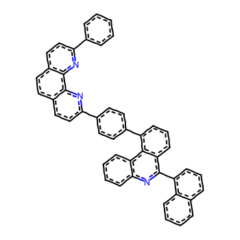 c1ccc(-c2ccc3ccc4ccc(-c5ccc(-c6cccc7c(-c8cccc9ccccc89)nc8ccccc8c67)cc5)nc4c3n2)cc1